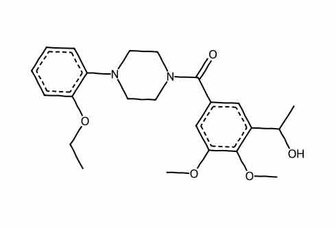 CCOc1ccccc1N1CCN(C(=O)c2cc(OC)c(OC)c(C(C)O)c2)CC1